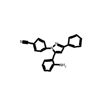 N#Cc1ccc(-n2nc(-c3ccccc3)cc2-c2ccccc2N)cc1